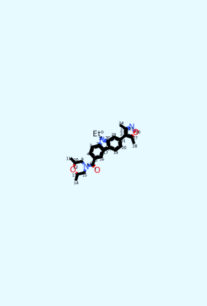 CCn1c2ccc(C(=O)N3CC(C)OC(C)C3)cc2c2ccc(-c3c(C)noc3C)cc21